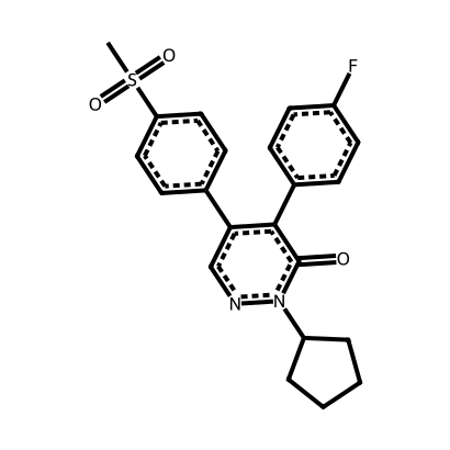 CS(=O)(=O)c1ccc(-c2cnn(C3CCCC3)c(=O)c2-c2ccc(F)cc2)cc1